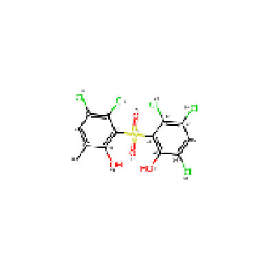 Cc1cc(Cl)c(Cl)c(S(=O)(=O)c2c(O)c(Cl)cc(Cl)c2Cl)c1O